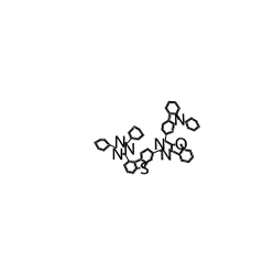 c1ccc(-c2nc(-c3ccccc3)nc(-c3cccc4sc5cc(-c6nc(-c7ccc8c9ccccc9n(-c9ccccc9)c8c7)c7oc8ccccc8c7n6)ccc5c34)n2)cc1